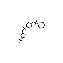 CC(C)(C)N1CCC(CC(C)(C)N2CCC(CC(C)(C)N3CCCCCC3)CC2)C1